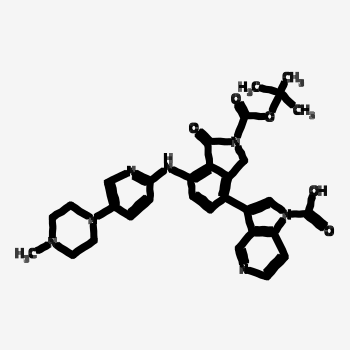 CN1CCN(c2ccc(Nc3ccc(-c4cn(C(=O)O)c5ccncc45)c4c3C(=O)N(C(=O)OC(C)(C)C)C4)nc2)CC1